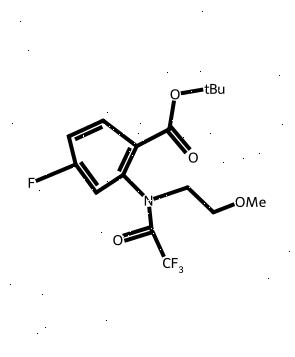 COCCN(C(=O)C(F)(F)F)c1cc(F)ccc1C(=O)OC(C)(C)C